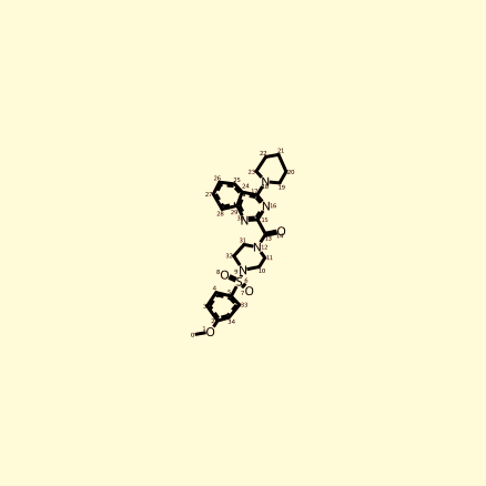 COc1ccc(S(=O)(=O)N2CCN(C(=O)c3nc(N4CCCCC4)c4ccccc4n3)CC2)cc1